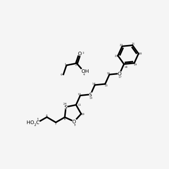 CCC(=O)O.O=C(O)CCC1OCC(CSCCCOc2ccccc2)S1